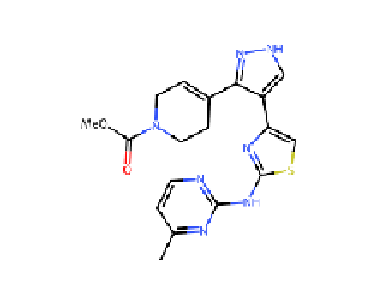 COC(=O)N1CC=C(c2n[nH]cc2-c2csc(Nc3nccc(C)n3)n2)CC1